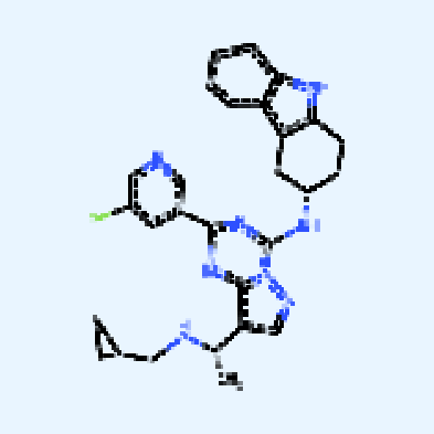 C[C@H](NCC1CC1)c1cnn2c(N[C@H]3CCc4[nH]c5ccccc5c4C3)nc(-c3cncc(F)c3)nc12